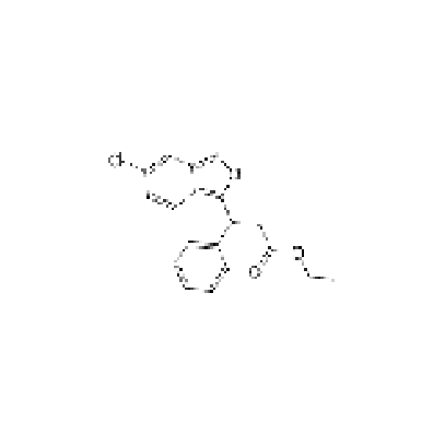 CCOC(=O)CC(c1ccccc1)c1occ2cc(Cl)ccc12